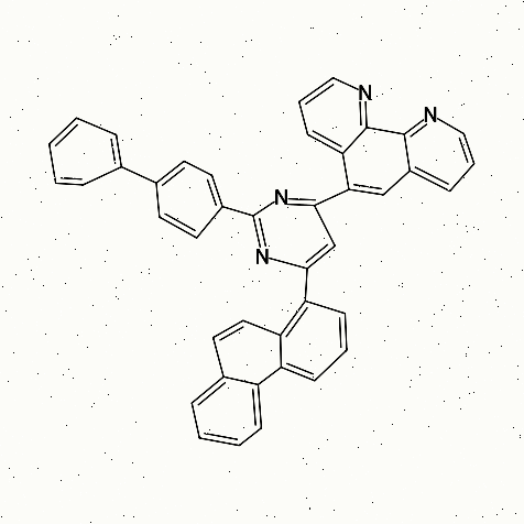 c1ccc(-c2ccc(-c3nc(-c4cccc5c4ccc4ccccc45)cc(-c4cc5cccnc5c5ncccc45)n3)cc2)cc1